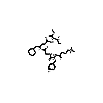 CC[C@H](C)[C@H](NC(=O)CCC(CC1CCCCC1)NC(=O)CNC(=O)[C@H](Cc1ccccc1)NC(=O)CCC[N+](C)(C)C)C(=O)OC.[Cl-]